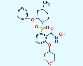 O=C(NO)c1c(OC2CCOCC2)cccc1S(=O)(=O)N1CCC(C(F)(F)F)CC1Oc1ccccc1